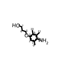 Cc1cc(OCCCO)c(C)c(C)c1N